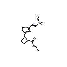 CCOC(=O)C1CCC1n1ccc(/C=C/[N+](=O)[O-])n1